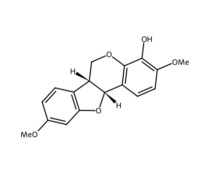 COc1ccc2c(c1)O[C@H]1c3ccc(OC)c(O)c3OC[C@@H]21